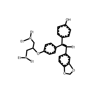 CCC(=C(c1ccc(O)cc1)c1ccc(OC(CN(CC)CC)CN(CC)CC)cc1)c1ccc2c(c1)OCO2